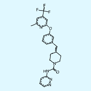 Cc1cc(C(F)(F)F)cc(Oc2cccc(C=C3CCN(C(=O)Nc4cccnn4)CC3)c2)n1